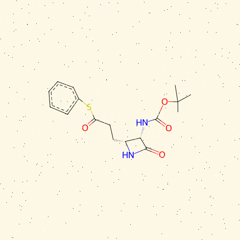 CC(C)(C)OC(=O)N[C@@H]1C(=O)N[C@@H]1CCC(=O)Sc1ccccc1